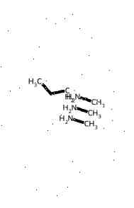 CN.CN.CN.[CH2]CC